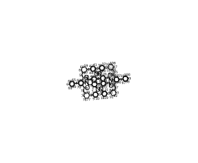 O=C1c2cc(Oc3ccccc3)c3c4c(Oc5ccccc5)cc5c6c(cc(Oc7ccccc7)c(c7c(Oc8ccccc8)cc(c2c37)C(=O)N1c1c(CCC2CCCCC2)cc(-c2ccccc2)cc1CCC1CCCCC1)c64)C(=O)N(c1c(CCC2CCCCC2)cc(-c2ccccc2)cc1CCC1CCCCC1)C5=O